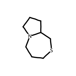 C1CSCC2CCCN2C1